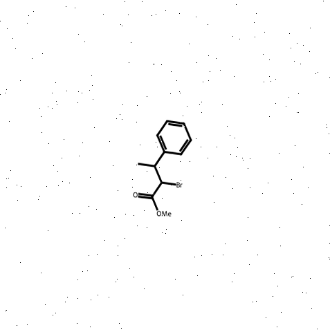 COC(=O)C(Br)C(C)c1ccccc1